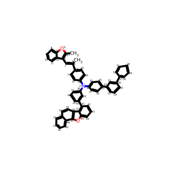 C/C(=C\c1c(C)oc2ccccc12)c1ccc(N(c2ccc(-c3cccc(-c4ccccc4)c3)cc2)c2cccc(-c3cccc4oc5c6ccccc6ccc5c34)c2)cc1